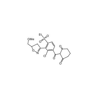 CCS(=O)(=O)c1ccc(C(=O)C2C(=O)CCCC2=O)c(Cl)c1C1=NOC(COC)C1